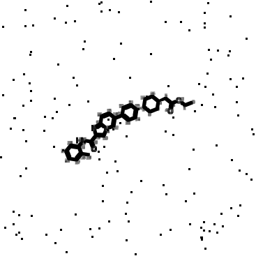 CCOC(=O)C[C@H]1CC[C@H](c2ccc(-c3ccc4nc(C(=O)Nc5ccccc5C)cn4c3)cc2)CC1